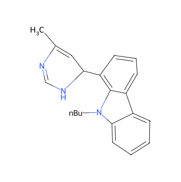 CCCCn1c2ccccc2c2cccc(C3C=C(C)N=CN3)c21